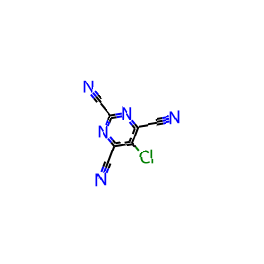 N#Cc1nc(C#N)c(Cl)c(C#N)n1